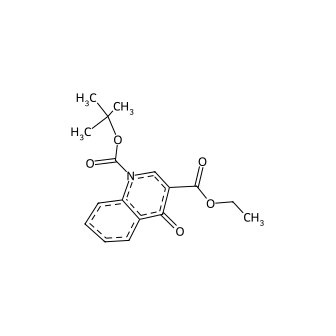 CCOC(=O)c1cn(C(=O)OC(C)(C)C)c2ccccc2c1=O